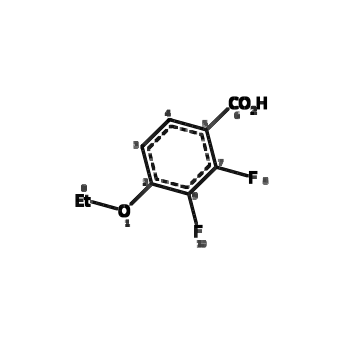 CCOc1ccc(C(=O)O)c(F)c1F